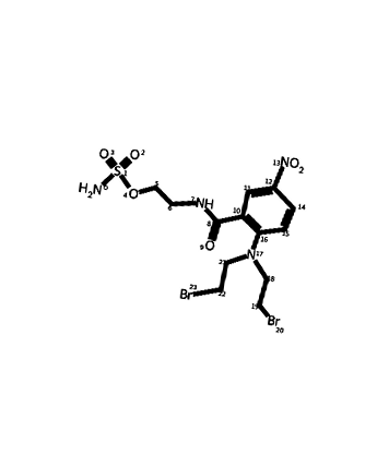 NS(=O)(=O)OCCNC(=O)c1cc([N+](=O)[O-])ccc1N(CCBr)CCBr